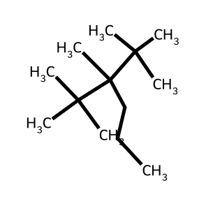 CCCC(C)(C(C)(C)C)C(C)(C)C